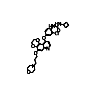 O=C(Nc1ccc(Oc2ccnc3cc(OCCCN4CCOCC4)c4c(c23)OCCO4)cc1Cl)NC1CCC1